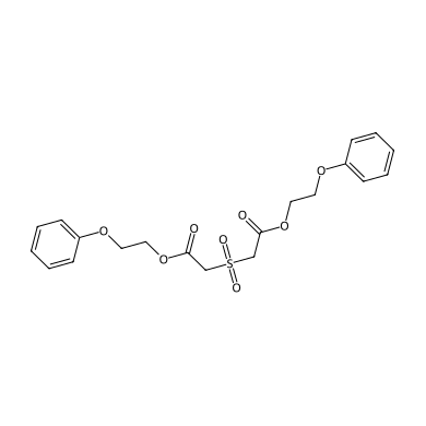 O=C(CS(=O)(=O)CC(=O)OCCOc1ccccc1)OCCOc1ccccc1